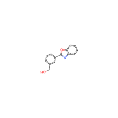 OCc1cccc(-c2nc3ccccc3o2)c1